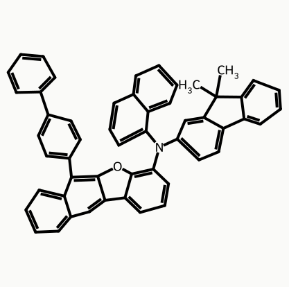 CC1(C)c2ccccc2-c2ccc(N(c3cccc4ccccc34)c3cccc4c3oc3c(-c5ccc(-c6ccccc6)cc5)c5ccccc5cc34)cc21